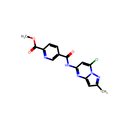 COC(=O)c1ccc(C(=O)Nc2cc(Cl)n3nc(C)cc3n2)cn1